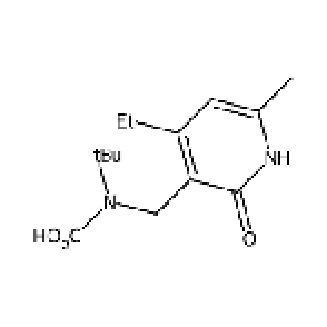 CCc1cc(C)[nH]c(=O)c1CN(C(=O)O)C(C)(C)C